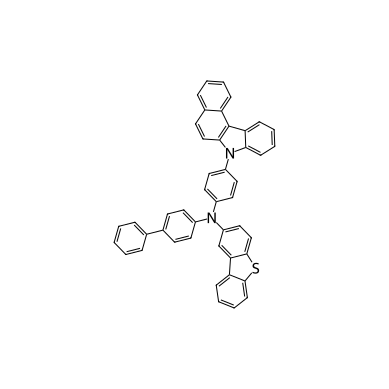 c1ccc(-c2ccc(N(c3ccc(-n4c5ccccc5c5c6ccccc6ccc54)cc3)c3ccc4sc5ccccc5c4c3)cc2)cc1